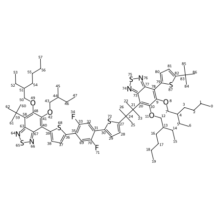 CCCCC(CC)COc1c(OCC(CC)CCCC)c(C(C)(C)C(C)(C)c2ccc(-c3cc(F)c(-c4ccc(-c5c(OCC(C)CC)c(OCC(CC)CCCC)c(C(C)(C)C)c6nsnc56)s4)cc3F)s2)c2nsnc2c1-c1ccc(C(C)(C)C)s1